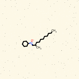 CCCCCCCCCC(C)C=[N+]([O-])C1CCCCC1